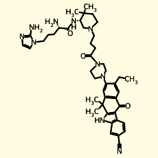 CCc1cc2c(cc1N1CCN(C(=O)CCCN3CCC(C)(C)[C@@H](NC(=O)[C@@H](N)CCCn4ccnc4N)C3)CC1)C(C)(C)c1[nH]c3cc(C#N)ccc3c1C2=O